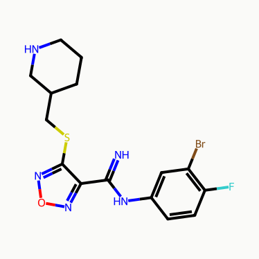 N=C(Nc1ccc(F)c(Br)c1)c1nonc1SCC1CCCNC1